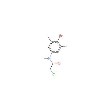 Cc1cc(N(C)C(=O)CCl)cc(C)c1Br